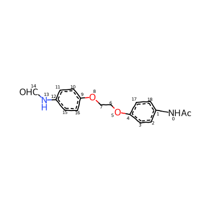 CC(=O)Nc1ccc(OCCOc2ccc(NC=O)cc2)cc1